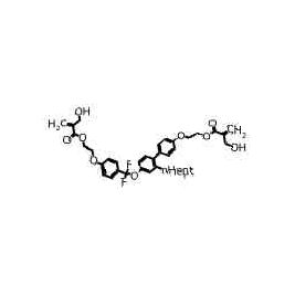 C=C(CO)C(=O)OCCOc1ccc(-c2ccc(OC(F)(F)c3ccc(OCCOC(=O)C(=C)CO)cc3)cc2CCCCCCC)cc1